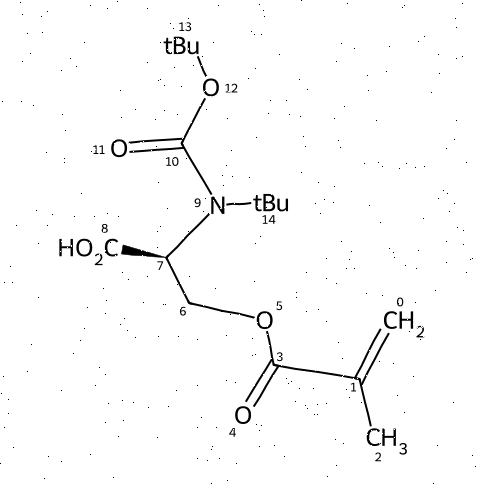 C=C(C)C(=O)OC[C@@H](C(=O)O)N(C(=O)OC(C)(C)C)C(C)(C)C